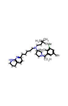 COc1c(F)cc(C(C)C)cc1[C@@H](C(=O)O)N1CC[C@@H](N(CCCCCc2ccc3c(n2)NCCC3)CCC(C)(C)OC)C1